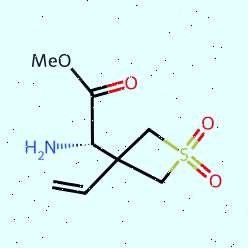 C=CC1([C@H](N)C(=O)OC)CS(=O)(=O)C1